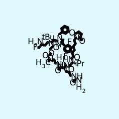 CC(C)[C@H](NC(=O)CCCCCN1C(=O)C=CC1=O)C(=O)N[C@@H](CCCNC(N)=O)C(=O)NCCN(C)C(=O)OCC(=O)N(CC[C@H](N)CF)[C@@H](c1nc(-c2cc(F)ccc2F)cn1Cc1ccccc1)C(C)(C)C